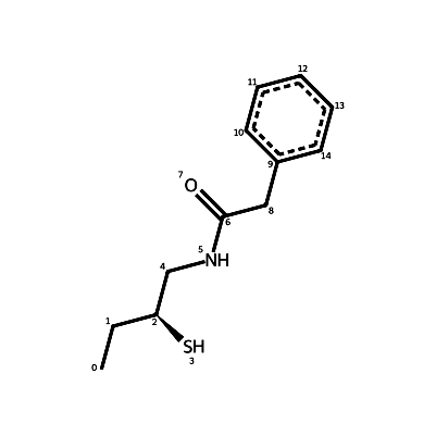 CC[C@H](S)CNC(=O)Cc1ccccc1